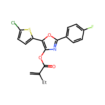 C=C(CC)C(=O)Oc1nc(-c2ccc(F)cc2)oc1-c1ccc(Cl)s1